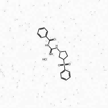 Cl.N=C(NC(=O)c1ccccc1)NN1CCC(S(=O)(=O)c2ccccc2)C1